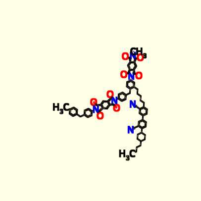 CCCCC1CCC(c2ccc(-c3ccc(CCCCCc4cc(-n5c(=O)c6cc7c(=O)n(C)c(=O)c7cc6c5=O)ccc4Cc4ccc(-n5c(=O)c6cc7c(=O)n(-c8ccc(Cc9ccc(C)cc9)cc8)c(=O)c7cc6c5=O)cc4)c(C#N)c3)cc2C#N)CC1